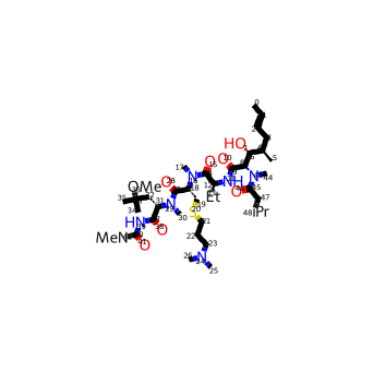 C/C=C/C[C@@H](C)[C@@H](O)[C@@H](C(=O)N[C@@H](CC)C(=O)N(C)[C@H](CSCCCN(C)C)C(=O)N(C)[C@@H](CC(C)(C)OC)C(=O)NC(=O)NC)N(C)C(=O)CC(C)C